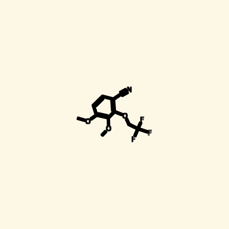 COc1ccc(C#N)c(OCC(F)(F)F)c1OC